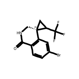 O=C1NC[C@@]2(CC2C(F)(F)F)c2cc(Br)ccc21